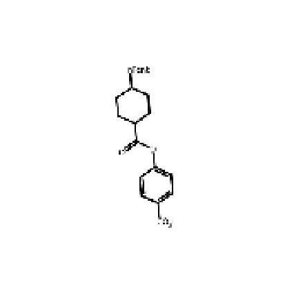 CCCCCC1CCC(C(=O)Oc2ccc(C(=O)O)cc2)CC1